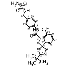 CC(C)(C)C1N=CC(CNC(=O)Nc2ccc(CNS(N)(=O)=O)cc2)(c2cccc(Cl)c2)S1